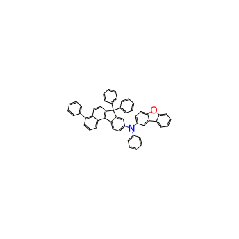 c1ccc(-c2cccc3c4c(ccc23)C(c2ccccc2)(c2ccccc2)c2cc(N(c3ccccc3)c3ccc5oc6ccccc6c5c3)ccc2-4)cc1